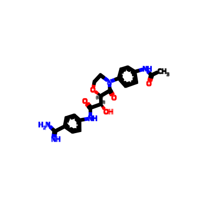 CC(=O)Nc1ccc(N2CCO[C@H]([C@@H](O)C(=O)Nc3ccc(C(=N)N)cc3)C2=O)cc1